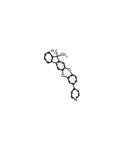 CC1(C)c2ccccc2-c2cc3c(cc21)Oc1ccc(-c2ccncc2)cc1O3